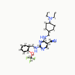 CCN(CC)C1CCC(CNc2nc(NCc3ccccc3OC(F)(F)F)ncc2C#N)CC1